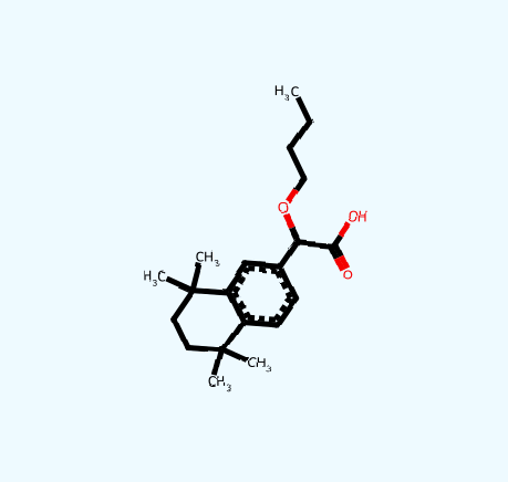 CCCCOC(C(=O)O)c1ccc2c(c1)C(C)(C)CCC2(C)C